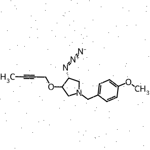 CC#CCOC1CN(Cc2ccc(OC)cc2)C[C@H]1N=[N+]=[N-]